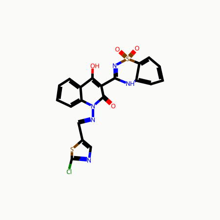 O=c1c(C2=NS(=O)(=O)c3ccccc3N2)c(O)c2ccccc2n1N=Cc1cnc(Cl)s1